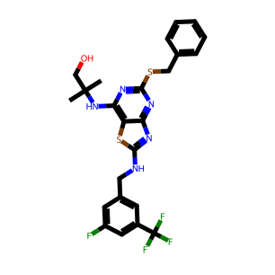 CC(C)(CO)Nc1nc(SCc2ccccc2)nc2nc(NCc3cc(F)cc(C(F)(F)F)c3)sc12